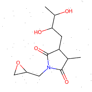 CC(O)C(O)CC1C(=O)N(CC2CO2)C(=O)C1C